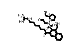 N=C(N)NCCCCCCC(=O)c1cc2ccccc2c(CO)c1S(=O)(=O)N(CC=O)N1CCCC1CN